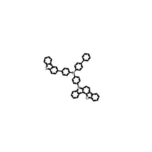 c1ccc(-c2ccc(N(c3ccc(-c4ccc5sc6ccccc6c5c4)cc3)c3ccc(-n4c5ccccc5c5c6oc7ccccc7c6ccc54)cc3)cc2)cc1